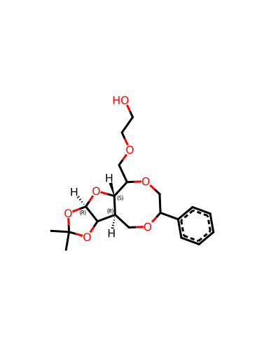 CC1(C)OC2[C@H](O[C@@H]3C(COCCO)OCC(c4ccccc4)OC[C@@H]23)O1